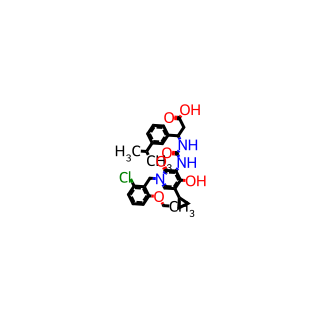 CCOc1cccc(Cl)c1Cn1cc(C2CC2)c(O)c(NC(=O)NC(CC(=O)O)c2cccc(C(C)C)c2)c1=O